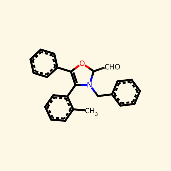 Cc1ccccc1C1=C(c2ccccc2)OC(C=O)N1Cc1ccccc1